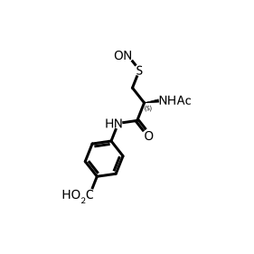 CC(=O)N[C@H](CSN=O)C(=O)Nc1ccc(C(=O)O)cc1